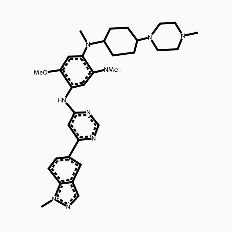 CNc1cc(Nc2cc(-c3ccc4c(cnn4C)c3)ncn2)c(OC)cc1N(C)C1CCC(N2CCN(C)CC2)CC1